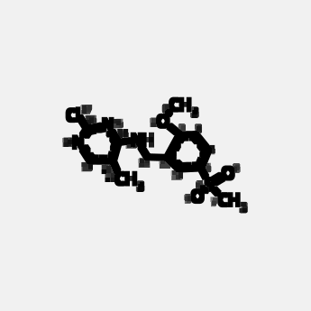 COc1ccc(S(C)(=O)=O)cc1CNc1nc(Cl)ncc1C